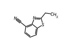 CCc1nc2c(C#N)cccc2s1